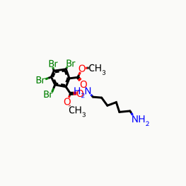 COC(=O)c1c(Br)c(Br)c(Br)c(Br)c1C(=O)OC.NCCCCCCN